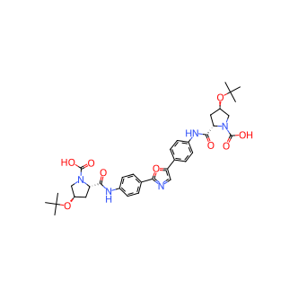 CC(C)(C)O[C@@H]1C[C@@H](C(=O)Nc2ccc(-c3cnc(-c4ccc(NC(=O)[C@@H]5C[C@@H](OC(C)(C)C)CN5C(=O)O)cc4)o3)cc2)N(C(=O)O)C1